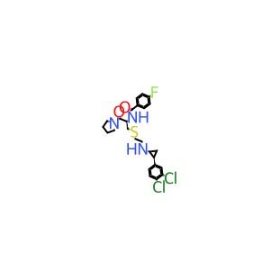 O=C(N[C@@H](CSCCN[C@@H]1C[C@H]1c1ccc(Cl)c(Cl)c1)C(=O)N1CCCC1)c1ccc(F)cc1